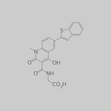 Cn1c(=O)c(C(=O)NCC(=O)O)c(O)c2cc(-c3cc4ccccc4s3)ccc21